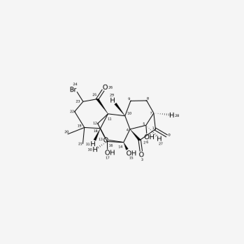 C=C1C(=O)[C@]23[C@H](O)[C@H]1CC[C@H]2[C@@]12CO[C@]3(O)[C@@H](O)[C@@H]1C(C)(C)CC(Br)C2=O